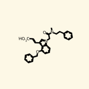 CN(CCc1ccccc1)C(=O)Cn1cc(C=CC(=O)O)c2c(OCc3ccccc3)cccc21